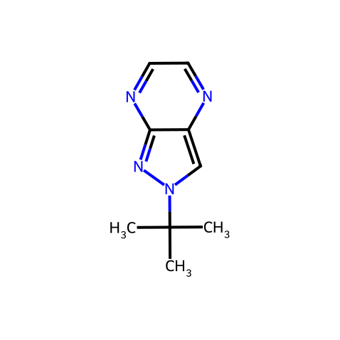 CC(C)(C)n1cc2nccnc2n1